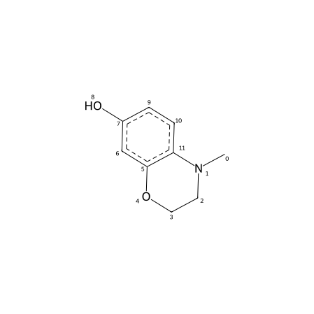 CN1CCOc2cc(O)ccc21